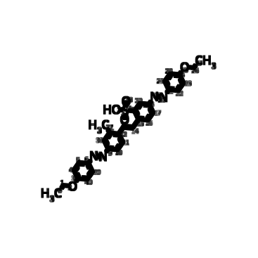 CCOc1ccc(/N=N/c2ccc(/C=C/c3ccc(/N=N/c4ccc(OCC)cc4)cc3S(=O)(=O)O)c(C)c2)cc1